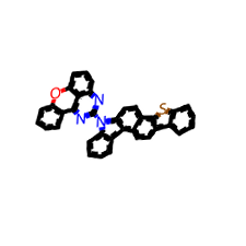 c1ccc2c(c1)Oc1cccc3nc(-n4c5ccccc5c5c6ccc7c8ccccc8sc7c6ccc54)nc-2c13